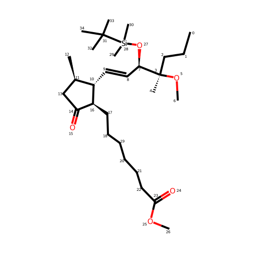 CCC[C@@](C)(OC)[C@@H](/C=C/[C@H]1[C@H](C)CC(=O)[C@@H]1CCCCCCC(=O)OC)O[Si](C)(C)C(C)(C)C